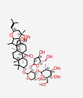 CC(C)=C[C@H]1C[C@](C)(O)C2C(O1)C(C)[C@]1(CO)[C@@H]2CC[C@]2(C)[C@@]3(C)CC[C@H](OC4OC[C@@H](O)[C@H](OC5O[C@H](CO)[C@@H](O)[C@H](O)[C@H]5C)[C@H]4OC4O[C@@H](CO)[C@H](O)[C@H]4O)C(C)(C)[C@]3(C)CC[C@]21C